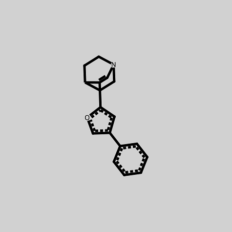 C1=C(c2cc(-c3ccccc3)co2)C2CCN1CC2